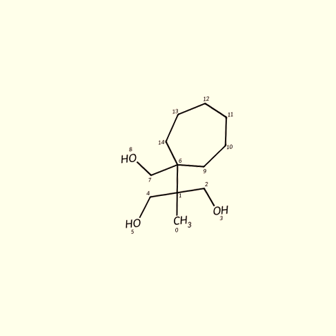 CC(CO)(CO)C1(CO)CCCCCC1